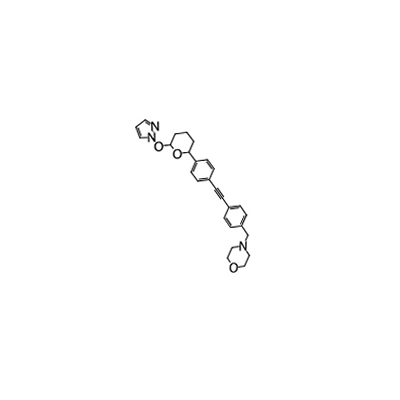 C(#Cc1ccc(C2CCCC(On3cccn3)O2)cc1)c1ccc(CN2CCOCC2)cc1